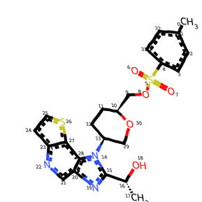 Cc1ccc(S(=O)(=O)OC[C@@H]2CC[C@H](n3c([C@@H](C)O)nc4cnc5ccsc5c43)CO2)cc1